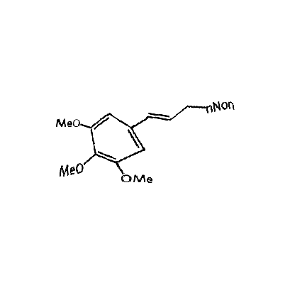 CCCCCCCCCCC=Cc1cc(OC)c(OC)c(OC)c1